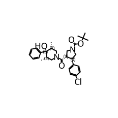 C[C@@H]1CN(C(=O)[C@@H]2CN(C(=O)OC(C)(C)C)C[C@H]2c2ccc(Cl)cc2)C[C@H](C)[C@@]1(O)c1ccccc1